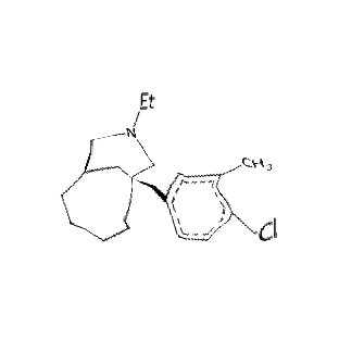 CCN1CC2CCCC[C@@]2(c2ccc(Cl)c(C)c2)C1